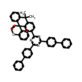 CC1(C)c2ccccc2C2(c3ccccc3Oc3ccccc32)c2cc(-c3nc(-c4ccc(-c5ccccc5)cc4)nc(-c4ccc(-c5ccccc5)cc4)n3)ccc21